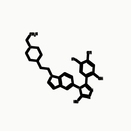 CC(C)c1cc(-c2nnc(O)n2-c2ccc3c(ccn3CCC3CCN(CC(=O)O)CC3)c2)c(O)cc1O